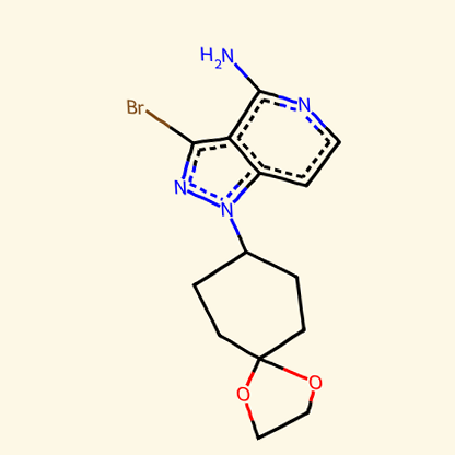 Nc1nccc2c1c(Br)nn2C1CCC2(CC1)OCCO2